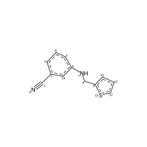 N#Cc1cccc(NCc2cccs2)c1